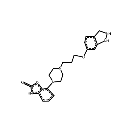 O=c1[nH]c2cccc(N3CCN(CCCOc4ccc5c(c4)NNC5)CC3)c2o1